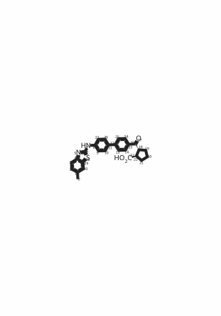 Cc1ccc2nc(Nc3ccc(-c4ccc(C(=O)[C@@H]5CCC[C@H]5C(=O)O)cc4)cc3)sc2c1